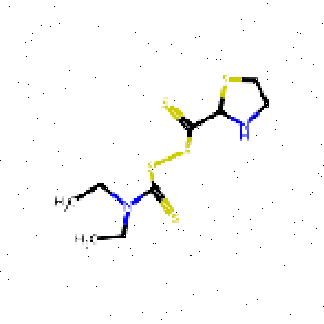 CCN(CC)C(=S)SSC(=S)C1NCCS1